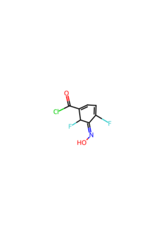 O=C(Cl)C1=CC=C(F)C(=NO)C1F